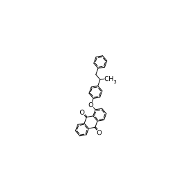 CC(Cc1ccccc1)c1ccc(Oc2cccc3c2C(=O)c2ccccc2C3=O)cc1